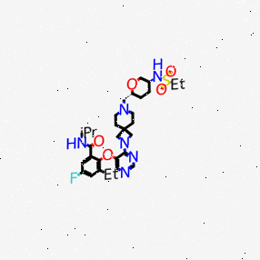 CCc1cc(F)cc(C(=O)NC(C)C)c1Oc1cncnc1N1CC2(CCN(C[C@H]3CC[C@H](NS(=O)(=O)CC)CO3)CC2)C1